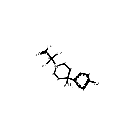 CC1(c2ccc(O)cc2)CCN(C(F)(F)C(=O)F)CC1